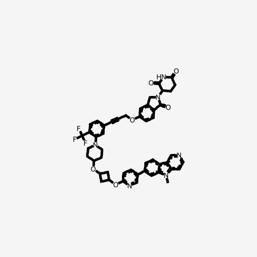 Cn1c2ccncc2c2ccc(-c3ccc(OC4CC(OC5CCN(c6cc(C#CCOc7ccc8c(c7)CN(C7CCC(=O)NC7=O)C8=O)ccc6C(F)(F)F)CC5)C4)nc3)cc21